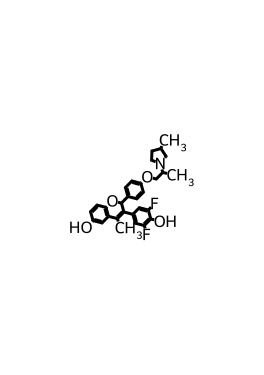 CC1=C(c2cc(F)c(O)c(F)c2)C(c2ccc(OCC(C)N3CCC(C)C3)cc2)Oc2ccc(O)cc21